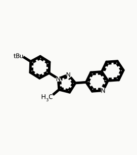 Cc1cc(-c2cnc3ccccc3c2)nn1-c1ccc(C(C)(C)C)cc1